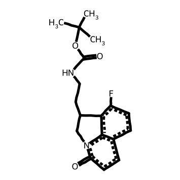 CC(C)(C)OC(=O)NCCC1Cn2c(=O)ccc3ccc(F)c1c32